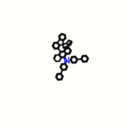 C1=Cc2c(c(N(c3ccc(-c4ccccc4)cc3)c3ccc(-c4ccccc4)cc3)c3ccccc3c2-c2cccc3c2C2(c4ccccc4-3)C3CC4CC(C3)C2C4)CC1